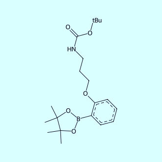 CC(C)(C)OC(=O)NCCCOc1ccccc1B1OC(C)(C)C(C)(C)O1